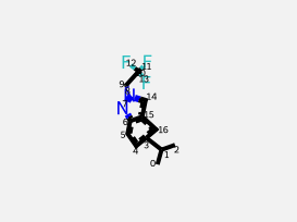 CC(C)c1ccc2nn(CC(F)(F)F)cc2c1